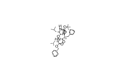 CC(C)C[C@H](NC(=O)OC(C)(C)C)C(=O)N[C@@H](Cc1ccccc1)C(=O)N[C@@H](CC(C)C)C(=O)OCc1ccccc1